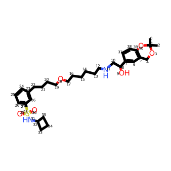 CC1(C)OCc2cc(C(O)CNCCCCCCOCCCCc3cccc(S(=O)(=O)NC4CCC4)c3)ccc2O1